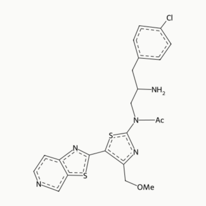 COCc1nc(N(CC(N)Cc2ccc(Cl)cc2)C(C)=O)sc1-c1nc2ccncc2s1